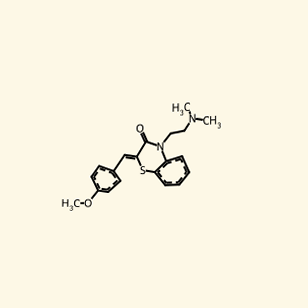 COc1ccc(/C=C2\Sc3ccccc3N(CCN(C)C)C2=O)cc1